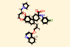 C[C@@H](COc1ccnc2c1[C@H](C)CCC2)C[C@H]1Cc2cc3c(cc2C12CCC(Nc1cccc(Cl)c1)(C(=O)O)CC2)O[C@H](CN1CCCC1)CCO3